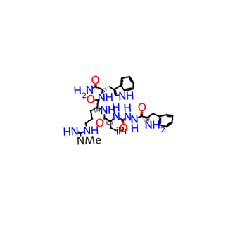 CNC(=N)NCCC[C@H](NC(=O)[C@H](CC(C)C)NC(=O)NNC(=O)[C@@H](N)Cc1ccccc1)C(=O)N[C@@H](Cc1c[nH]c2ccccc12)C(N)=O